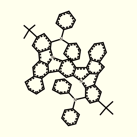 CC(C)(C)c1cc(N(c2ccccc2)c2ccccc2)c2c(c1)c1cc3ccccc3c3c4cc5c(cc4n2c13)c1c2ccccc2cc2c3cc(C(C)(C)C)cc(N(c4ccccc4)c4ccccc4)c3n5c21